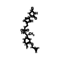 C[C@@H](NS(=O)(=O)CCc1nnc(N2CC(=O)NC2=O)[nH]1)c1ccc(F)c(OCC2CC2)c1